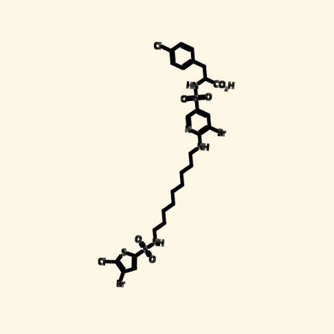 O=C(O)C(Cc1ccc(Cl)cc1)NS(=O)(=O)c1cnc(NCCCCCCCCCNS(=O)(=O)c2cc(Br)c(Cl)s2)c(Br)c1